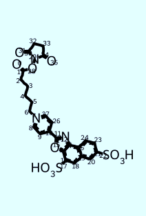 O=C(CCCCC[n+]1ccc(-c2nc3c(o2)c(S(=O)(=O)O)cc2cc(S(=O)(=O)O)ccc23)cc1)ON1C(=O)CCC1=O